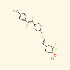 CCCc1ccc(/C(F)=C(\F)C2CCC(CC/C=C/C3CCC(OCC)C(F)(F)C3)CC2)cc1